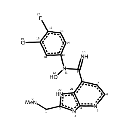 CNCc1nc2nccc(C(=N)N(O)c3ccc(F)c(Cl)c3)c2[nH]1